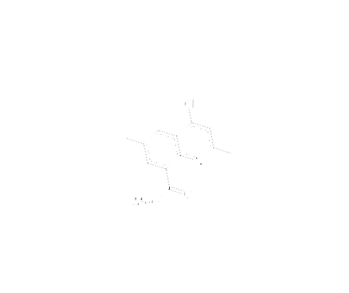 COC(=O)c1cc(C)cc2c(Cl)cc(C)nc12